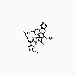 Nc1nc(/C(=N/OCCF)C(=O)N[C@@H]2C(=O)N3C(C(=O)O)=C(Sc4ccncc4SCC(N)CO)CS[C@@H]23)cs1